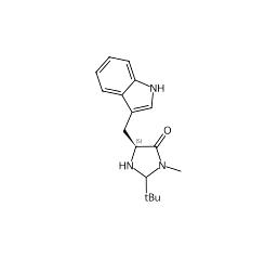 CN1C(=O)[C@H](Cc2c[nH]c3ccccc23)NC1C(C)(C)C